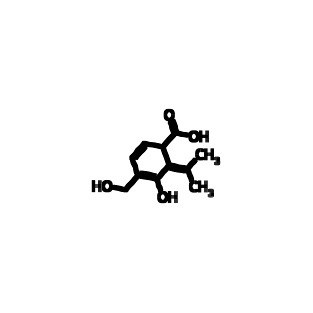 CC(C)=C1C(O)=C(CO)C=CC1C(=O)O